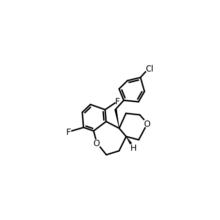 Fc1ccc(F)c2c1OCC[C@H]1COCC[C@@]21Cc1ccc(Cl)cc1